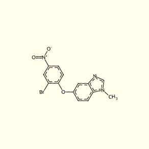 Cn1cnc2cc(Oc3ccc([N+](=O)[O-])cc3Br)ccc21